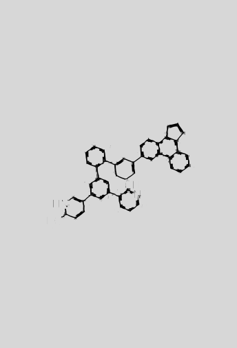 CC1C=C(c2ccc3c4c(c5ccccc5c3c2)C=C=C4)C=C(c2ccccc2-c2cc(C3=CNC(C)C=C3)cc(-c3cccnc3)c2)C1